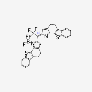 FB(F)n1c(/C(=C2/C=C3CCc4c(sc5ccccc45)C3=N2)C(F)(F)F)cc2c1-c1sc3ccccc3c1CC2